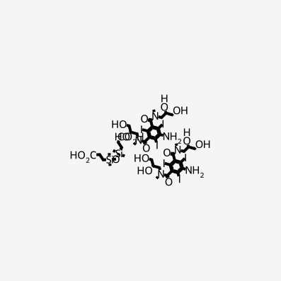 CN(CC(O)CO)C(=O)c1c(I)c(N)c(I)c(C(=O)N(C)CC(O)CO)c1I.CN(CC(O)CO)C(=O)c1c(I)c(N)c(I)c(C(=O)N(C)CC(O)CO)c1I.C[Si](C)(CCC(=O)O)O[Si](C)(C)CCC(=O)O